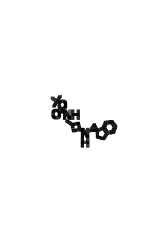 CC(C)(C)OC(=O)NCC1CC(NC2CC23CCc2ccccc23)C1